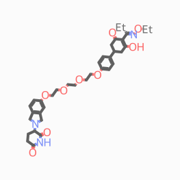 CCO/N=C(\CC)C1=C(O)CC(c2ccc(OCCOCCOCCOc3ccc4c(c3)CN(C3CCC(=O)NC3=O)C4)cc2)CC1=O